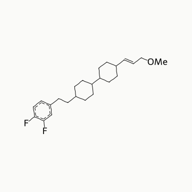 COCC=CC1CCC(C2CCC(CCc3ccc(F)c(F)c3)CC2)CC1